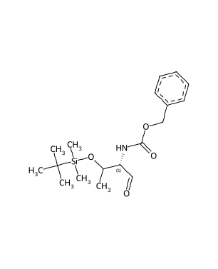 CC(O[Si](C)(C)C(C)(C)C)[C@@H](C=O)NC(=O)OCc1ccccc1